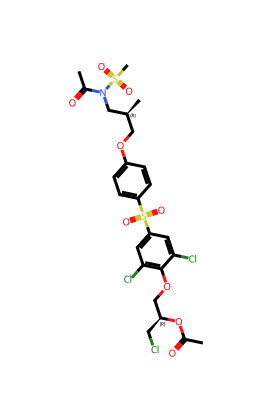 CC(=O)O[C@@H](CCl)COc1c(Cl)cc(S(=O)(=O)c2ccc(OC[C@H](C)CN(C(C)=O)S(C)(=O)=O)cc2)cc1Cl